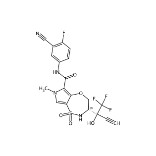 C#CC(O)([C@H]1COc2c(cn(C)c2C(=O)Nc2ccc(F)c(C#N)c2)S(=O)(=O)N1)C(F)(F)F